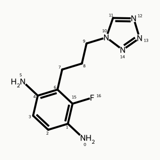 Nc1ccc(N)c(CCCn2cnnn2)c1F